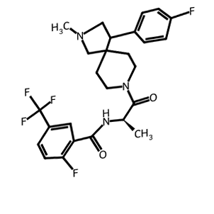 C[C@@H](NC(=O)c1cc(C(F)(F)F)ccc1F)C(=O)N1CCC2(CC1)CN(C)CC2c1ccc(F)cc1